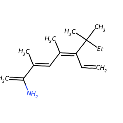 C=C/C(=C(C)\C=C(/C)C(=C)N)C(C)(C)CC